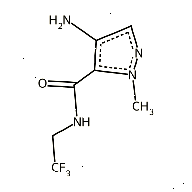 Cn1ncc(N)c1C(=O)NCC(F)(F)F